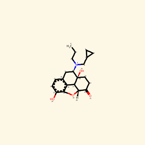 CCCN(CC1CC1)[C@@H]1Cc2ccc(O)c3c2C2[C@@H](O3)C(=O)CC[C@]21O